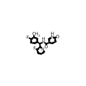 Cc1cc(C(NC(=O)c2ccc(=O)[nH]c2)c2ncccc2F)ccc1F